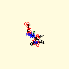 C#C[C@]1(CO[P@@](=O)(N[C@@H](C)C(=O)OCC(CC)CC)Oc2ccccc2)O[C@@H](n2cnc3c(NC(=O)OC(C)(C)CC(=O)OCc4oc(=O)oc4C)nc(F)nc32)C[C@@H]1OC(=O)C(C)C